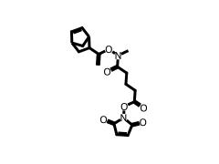 C=C(ON(C)C(=O)CCCC(=O)ON1C(=O)C=CC1=O)C1CC2C=CC1C2